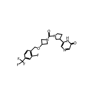 O=C(N1CC(OCc2ccc(C(F)(F)F)cc2F)C1)N1CCC(c2cncc(=O)[nH]2)C1